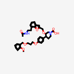 COc1ccccc1COCCCOc1ccc(C2CCN(C(=O)O)CC2OCc2cc3cccc(CCNC(C)=O)c3o2)cc1